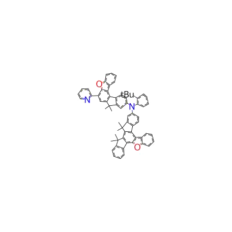 CC(C)(C)c1ccccc1N(c1ccc2c(c1)C(C)(C)c1cc(-c3ccccn3)c3oc4ccccc4c3c1-2)c1ccc2c(c1)C(C)(C)c1c3c(c4oc5ccccc5c4c1-2)-c1ccccc1C3(C)C